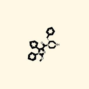 COc1nc(C(=O)N2CCNC[C@H]2Cc2ccccc2)c(-c2ccccc2)n1-c1ccccc1